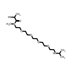 CC(C)NCCOCCOCCOCCOCCN(C)C(=O)C(C)S